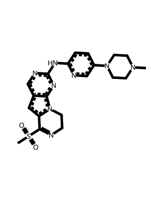 CN1CCN(c2ccc(Nc3ncc4cc5n(c4n3)CCN=C5S(C)(=O)=O)nc2)CC1